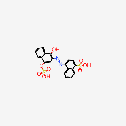 O=S(=O)(O)Oc1cc(N=Nc2ccc(S(=O)(=O)O)c3ccccc23)c(O)c2ccccc12